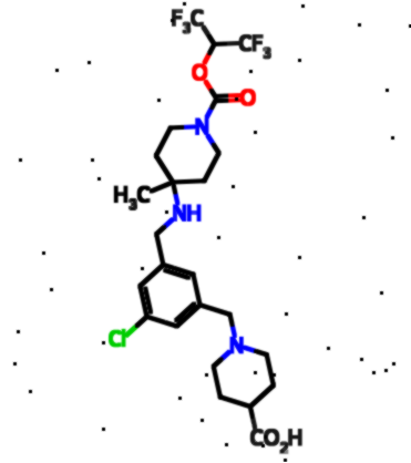 CC1(NCc2cc(Cl)cc(CN3CCC(C(=O)O)CC3)c2)CCN(C(=O)OC(C(F)(F)F)C(F)(F)F)CC1